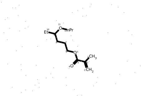 C=C(C)C(=O)OCCCC(CC)OCCC